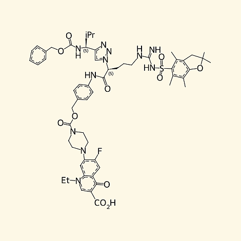 CCn1cc(C(=O)O)c(=O)c2cc(F)c(N3CCN(C(=O)OCc4ccc(NC(=O)[C@H](CCCNC(=N)NS(=O)(=O)c5c(C)c(C)c6c(c5C)CC(C)(C)O6)n5cc([C@@H](NC(=O)OCc6ccccc6)C(C)C)nn5)cc4)CC3)cc21